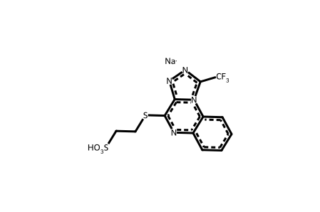 O=S(=O)(O)CCSc1nc2ccccc2n2c(C(F)(F)F)nnc12.[Na]